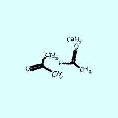 CC(=O)F.CC(C)=O.[CaH2]